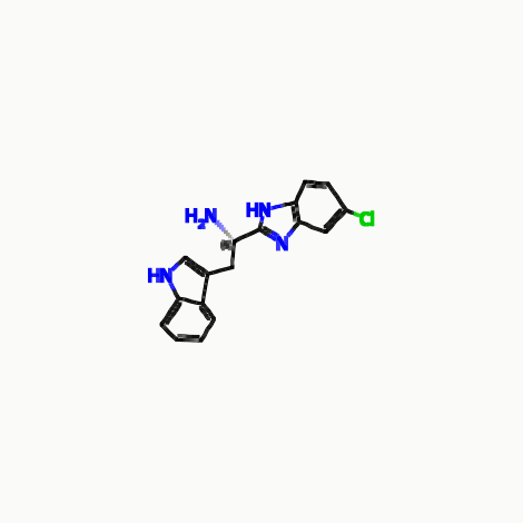 N[C@@H](Cc1c[nH]c2ccccc12)c1nc2cc(Cl)ccc2[nH]1